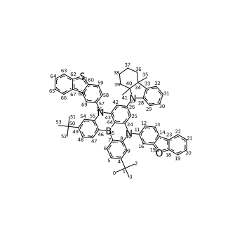 CC(C)(C)c1ccc2c(c1)N(c1ccc3c(c1)oc1ccccc13)c1cc(N3c4ccccc4C4(C)CCCCC34C)cc3c1B2c1ccc(C(C)(C)C)cc1N3c1ccc2sc3ccccc3c2c1